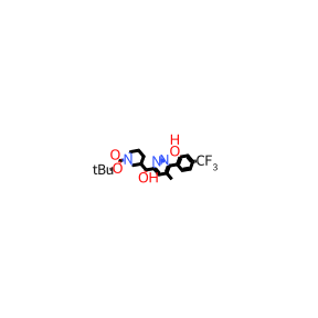 Cc1cc(C(O)C2CCCN(C(=O)OC(C)(C)C)C2)nnc1-c1ccc(C(F)(F)F)cc1O